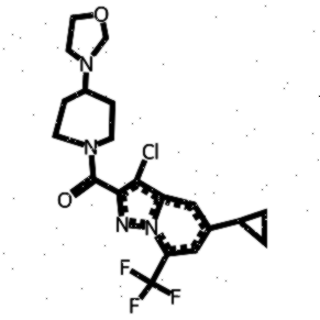 O=C(c1nn2c(C(F)(F)F)cc(C3CC3)cc2c1Cl)N1CCC(N2CCOC2)CC1